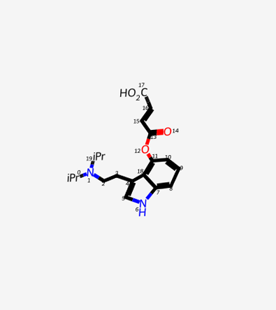 CC(C)N(CCc1c[nH]c2cccc(OC(=O)/C=C/C(=O)O)c12)C(C)C